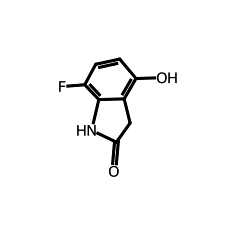 O=C1Cc2c(O)ccc(F)c2N1